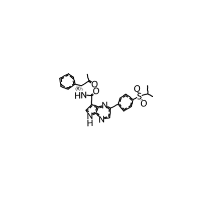 CC(=O)[C@H](NC(=O)c1c[nH]c2ncc(-c3ccc(S(=O)(=O)C(C)C)cc3)nc12)c1ccccc1